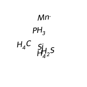 C.P.S.[Mn].[SiH4]